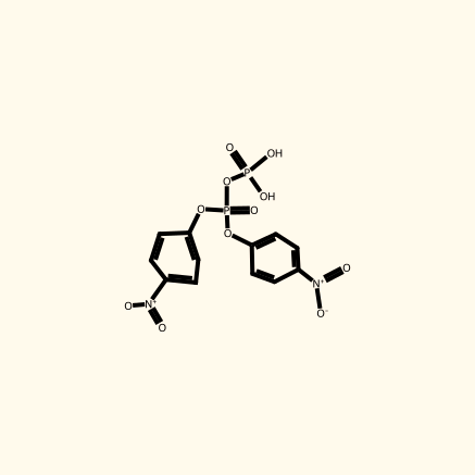 O=[N+]([O-])c1ccc(OP(=O)(Oc2ccc([N+](=O)[O-])cc2)OP(=O)(O)O)cc1